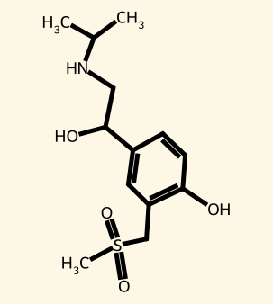 CC(C)NCC(O)c1ccc(O)c(CS(C)(=O)=O)c1